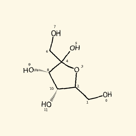 OCC1OC(O)(CO)[C@@H](O)[C@H]1O